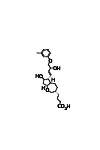 Cc1cccc(OCC(O)/C=C/[C@@H]2[C@H]3CC[C@H](CCCC(=O)O)CO[C@H]3C[C@H]2O)c1